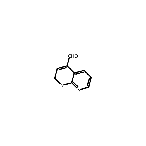 O=CC1=CCNc2ncccc21